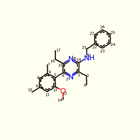 CCc1nc(-c2c(C)cc(C)cc2OC)c(CC)nc1NCc1ccccc1